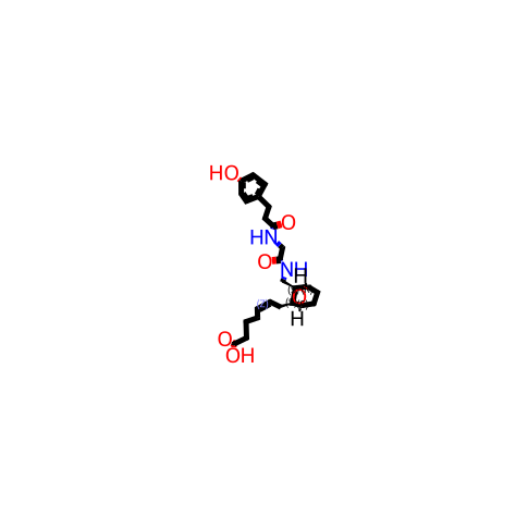 O=C(O)CCC/C=C\C[C@H]1[C@@H](CNC(=O)CNC(=O)CCc2ccc(O)cc2)[C@H]2CC[C@@H]1O2